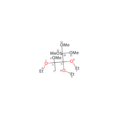 CCOC(C)(OC)C(OCC)(OCC)[Si](OC)(OC)OC